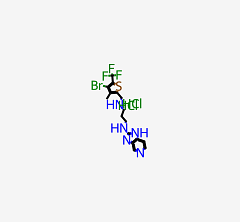 Cc1c(CNCCCNc2nc3cnccc3[nH]2)sc(C(F)(F)F)c1Br.Cl.Cl